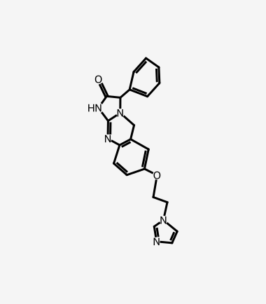 O=C1NC2=Nc3ccc(OCCn4ccnc4)cc3CN2C1c1ccccc1